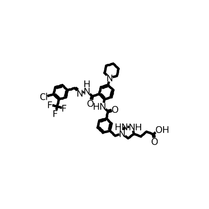 O=C(O)CCC1CN(Cc2cccc(C(=O)Nc3ccc(N4CCCCC4)cc3C(=O)N/N=C/c3ccc(Cl)c(C(F)(F)F)c3)c2)NN1